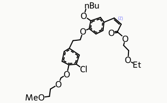 CCCCOc1cc(/C=C\C(=O)OCCOCC)ccc1OCCc1ccc(OCOCCOC)c(Cl)c1